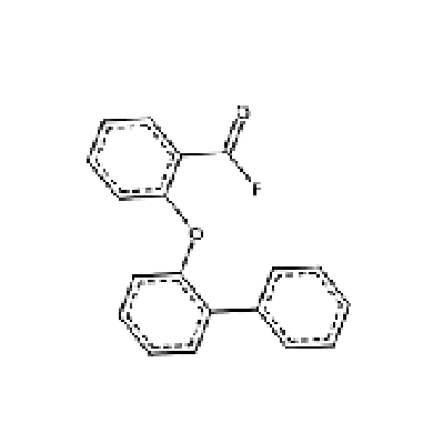 O=C(F)c1ccccc1Oc1ccccc1-c1ccccc1